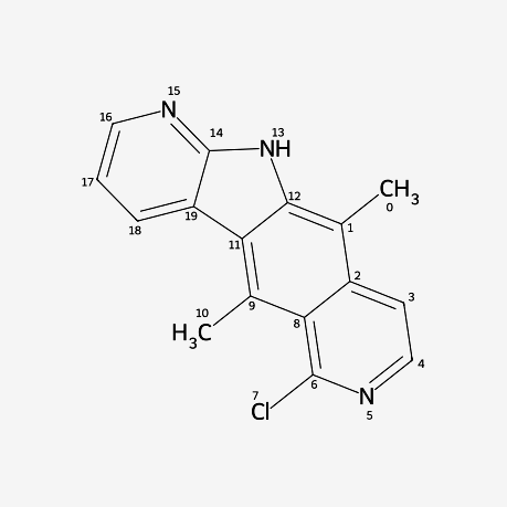 Cc1c2ccnc(Cl)c2c(C)c2c1[nH]c1ncccc12